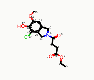 CCOC(=O)CCC(=O)N1Cc2cc(OC)c(O)c(Cl)c2C1